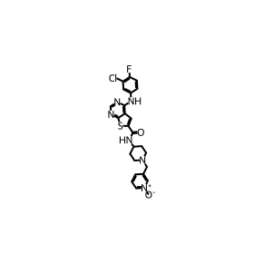 O=C(NC1CCN(Cc2ccc[n+]([O-])c2)CC1)c1cc2c(Nc3ccc(F)c(Cl)c3)ncnc2s1